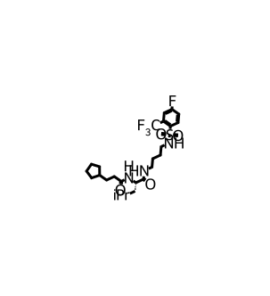 CC(C)C[C@H](NC(=O)CCC1CCCC1)C(=O)NCCCCNS(=O)(=O)c1ccc(F)cc1C(F)(F)F